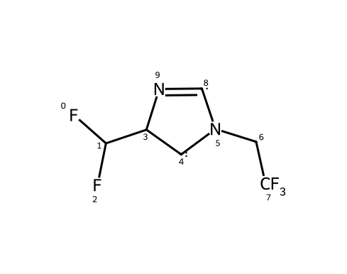 FC(F)C1[C]N(CC(F)(F)F)[C]=N1